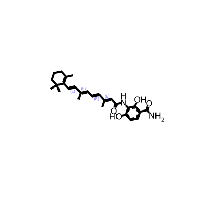 CC1=C(/C=C/C(C)=C/C=C/C(C)=C/C(=O)Nc2c(O)ccc(C(N)=O)c2O)C(C)(C)CCC1